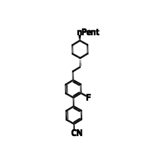 CCCCC[C@H]1CC[C@H](CCc2ccc(-c3ccc(C#N)cc3)c(F)c2)CC1